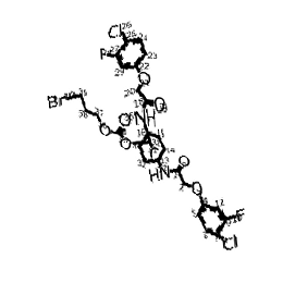 O=C(COc1ccc(Cl)c(F)c1)NC12CCC(NC(=O)COc3ccc(Cl)c(F)c3)(CC1)C(OC(=O)OCCCBr)C2